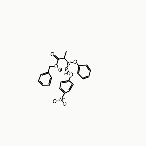 CC(C(=O)OCc1ccccc1)N(Oc1ccccc1)[PH](=O)Oc1ccc([N+](=O)[O-])cc1